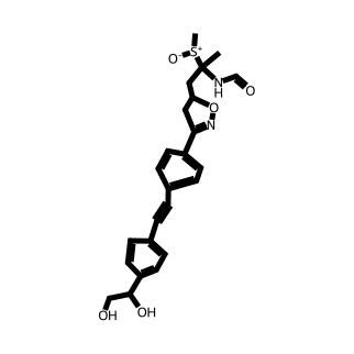 C[S+]([O-])C(C)(CC1CC(c2ccc(C#Cc3ccc(C(O)CO)cc3)cc2)=NO1)NC=O